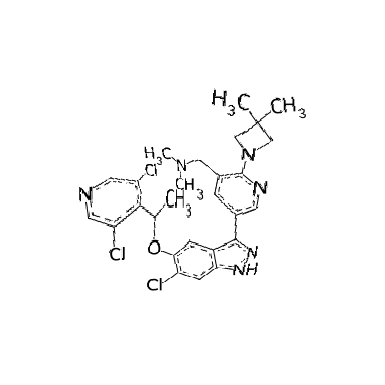 CC(Oc1cc2c(-c3cnc(N4CC(C)(C)C4)c(CN(C)C)c3)n[nH]c2cc1Cl)c1c(Cl)cncc1Cl